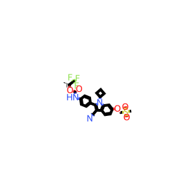 C[C@@H](OC(=O)Nc1ccc(-c2c(C#N)c3ccc(OCS(C)(=O)=O)cc3n2C2CCC2)cc1)C(F)(F)F